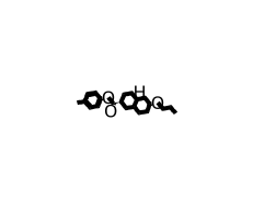 CCCOC1CCC2C[C@H](C(=O)Oc3ccc(C)cc3)CC[C@@H]2C1